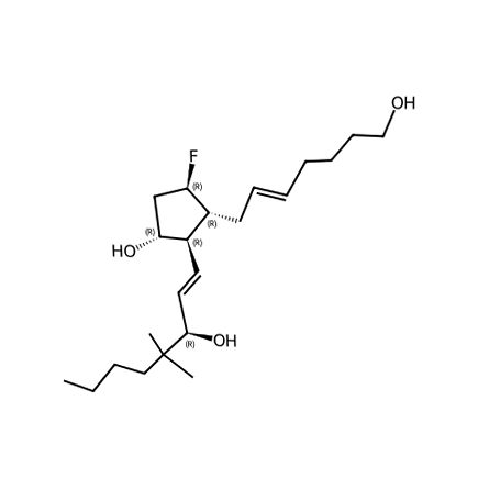 CCCCC(C)(C)[C@H](O)C=C[C@@H]1[C@@H](CC=CCCCCO)[C@H](F)C[C@H]1O